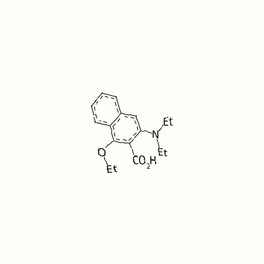 CCOc1c(C(=O)O)c(N(CC)CC)cc2ccccc12